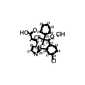 Cl.O=C(O)/C=C/[N+]1(CC(Cl)(C(=O)c2ccc(Cl)cc2Cl)c2ccccc2)C=CN=C1